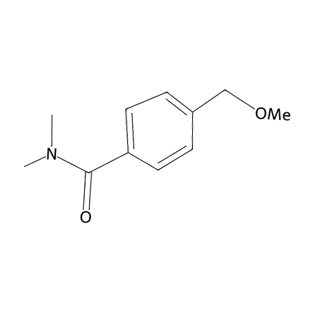 [CH2]OCc1ccc(C(=O)N(C)C)cc1